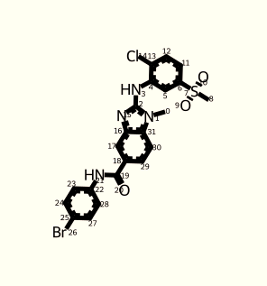 Cn1c(Nc2cc(S(C)(=O)=O)ccc2Cl)nc2cc(C(=O)Nc3ccc(Br)cc3)ccc21